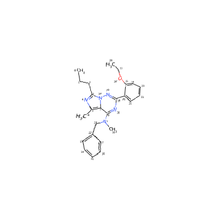 CCCc1nc(C)c2c(N(C)Cc3ccccc3)nc(-c3ccccc3OCC)nn12